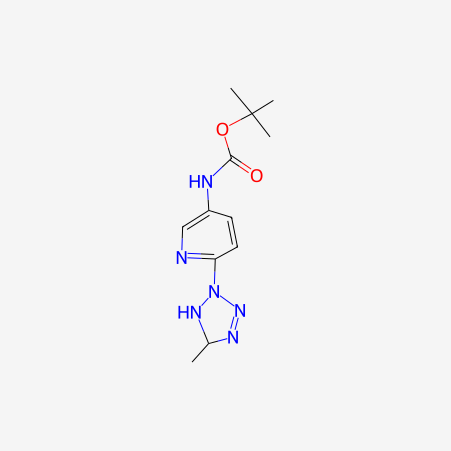 CC1N=NN(c2ccc(NC(=O)OC(C)(C)C)cn2)N1